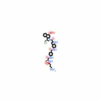 NCCCC(=O)N[C@@H](CO)C(=O)Nc1ccc(C(=O)Nc2ccc3[nH]c(C(=O)N4C[C@@H](CCl)c5c4cc(OO)c4ccccc54)cc3c2)cc1